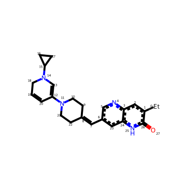 CCc1cc2ncc(C=C3CCN(C4=CN(C5CC5)CC=C4)CC3)cc2[nH]c1=O